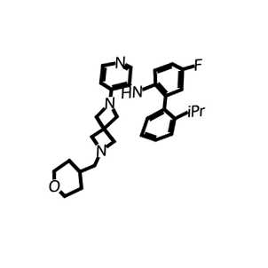 CC(C)c1ccccc1-c1cc(F)ccc1Nc1cnccc1N1CC2(CN(CC3CCOCC3)C2)C1